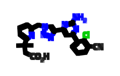 CC(C)(CC(=O)O)c1cccc(Cn2cc(-c3cc(-c4cccc(C#N)c4Cl)nc(N)n3)nn2)n1